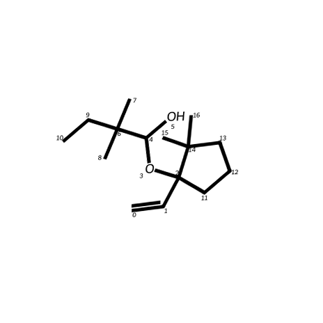 C=CC1(OC(O)C(C)(C)CC)CCCC1(C)C